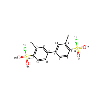 Cc1cc(-c2ccc(S(=O)(=O)Cl)c(C)c2)ccc1S(=O)(=O)Cl